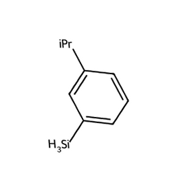 CC(C)c1cccc([SiH3])c1